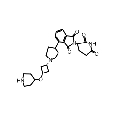 O=C1CC[C@@H](N2C(=O)c3cccc(C4CCN([C@H]5C[C@H](OC6CCNCC6)C5)CC4)c3C2=O)C(=O)N1